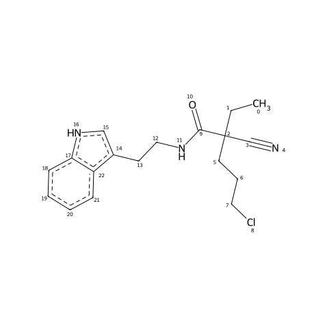 CCC(C#N)(CCCCl)C(=O)NCCc1c[nH]c2ccccc12